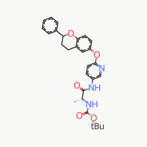 C[C@@H](NC(=O)OC(C)(C)C)C(=O)Nc1ccc(Oc2ccc3c(c2)CCC(c2ccccc2)O3)nc1